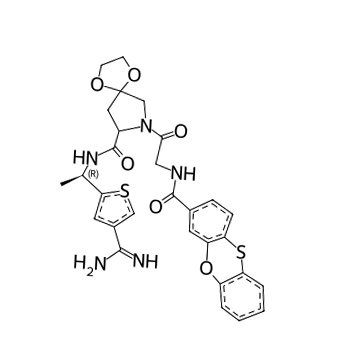 C[C@@H](NC(=O)C1CC2(CN1C(=O)CNC(=O)c1ccc3c(c1)Oc1ccccc1S3)OCCO2)c1cc(C(=N)N)cs1